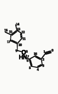 C#Cc1cccc(NOCc2ccc(C)c(C)c2)c1